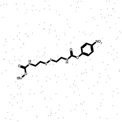 CC(C)(C)OC(=O)NCCSSCCNC(=O)Oc1ccc([N+](=O)[O-])cc1